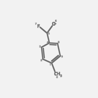 Cc1ccc(C([O])F)cc1